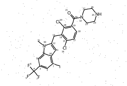 Cc1cc(C(F)(F)F)cc2c1cc(Cc1c(Cl)ccc(C(=O)N3CCNCC3)c1Cl)n2C